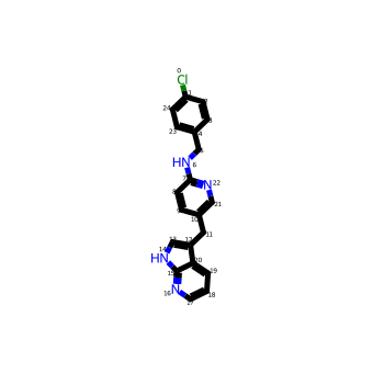 Clc1ccc(CNc2ccc(Cc3c[nH]c4ncccc34)cn2)cc1